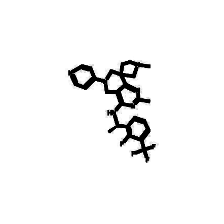 Cc1nc(N[C@H](C)c2cccc(C(F)(F)F)c2F)c2c(n1)C1(CCN(C)C1)CN(c1ccncc1)C2